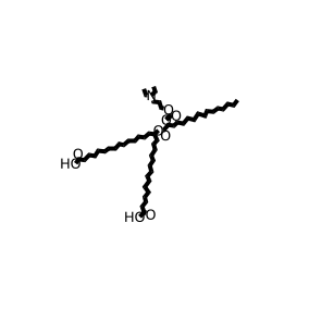 CCCCCCCCCCCCC(CCC(=O)OC(CCCCCCCCCCCCCCC(=O)O)CCCCCCCCCCCCCCC(=O)O)OC(=O)OCCCN(CC)CC